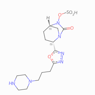 O=C1N2C[C@H](CC[C@H]2c2nnc(CCCN3CCNCC3)o2)N1OS(=O)(=O)O